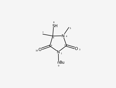 CCCCN1C(=O)N(C)C(C)(S)C1=O